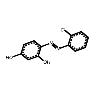 Oc1ccc(N=Nc2ccccc2Cl)c(O)c1